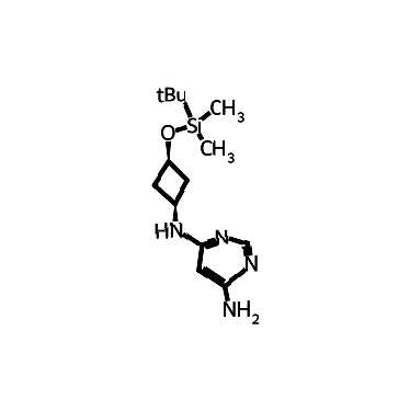 CC(C)(C)[Si](C)(C)O[C@H]1C[C@@H](Nc2cc(N)ncn2)C1